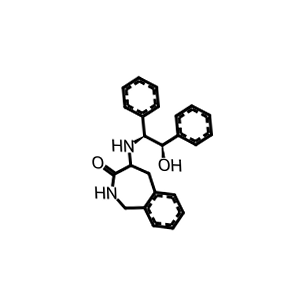 O=C1NCc2ccccc2CC1N[C@@H](c1ccccc1)[C@H](O)c1ccccc1